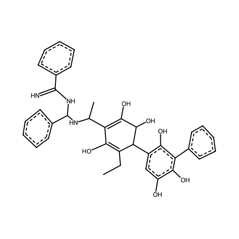 CCC1=C(O)C(C(C)NC(NC(=N)c2ccccc2)c2ccccc2)=C(O)C(O)C1c1cc(O)c(O)c(-c2ccccc2)c1O